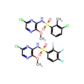 COc1ncc(Cl)nc1NS(=O)(=O)c1ccc(F)c(F)c1F.COc1ncc(Cl)nc1NS(=O)(=O)c1cccc(Cl)c1C